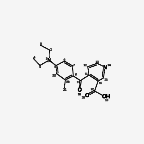 CCN(CC)c1ccc(C(=O)c2ccncc2C(=O)O)c(C)c1